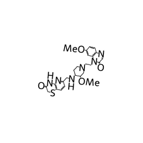 COc1ccc2ncc(=O)n(CCN3CC[C@H](NCc4ccc5c(n4)NC(=O)CS5)[C@H](OC)C3)c2c1